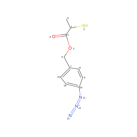 CC(S)C(=O)OCc1ccc(N=[N+]=[N-])cc1